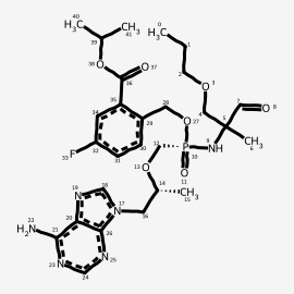 CCCOCC(C)(C=O)N[P@](=O)(CO[C@H](C)Cn1cnc2c(N)ncnc21)OCc1ccc(F)cc1C(=O)OC(C)C